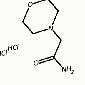 Cl.Cl.NC(=O)CN1CCOCC1